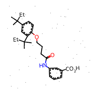 CCC(C)(C)c1ccc(OCCCC(=O)Nc2cccc(C(=O)O)c2)c(C(C)(C)CC)c1